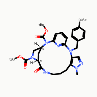 COc1ccc(CN2c3cccc(n3)N(C(=O)OC(C)(C)C)[C@H]3C[C@@H](C(=O)NCCCc4c2cnn4C)N(C(=O)OC(C)(C)C)C3)cc1